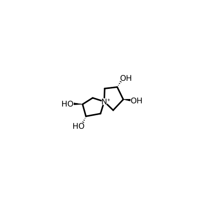 O[C@H]1C[N+]2(C[C@@H]1O)C[C@H](O)[C@@H](O)C2